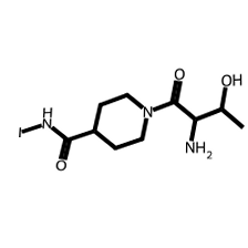 CC(O)C(N)C(=O)N1CCC(C(=O)NI)CC1